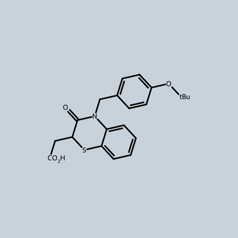 CC(C)(C)Oc1ccc(CN2C(=O)C(CC(=O)O)Sc3ccccc32)cc1